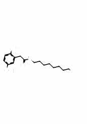 CCCCCCCCCNC(=O)Cc1cc(O)ccc1O